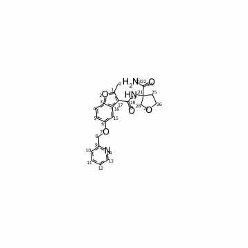 Cc1oc2ccc(OCc3ccccn3)cc2c1C(=O)NC1(C(N)=O)CCOC1